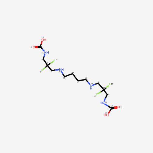 O=C(O)NCC(F)(F)CNCCCCNCC(F)(F)CNC(=O)O